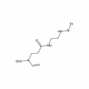 C=CN(C=O)CCC(=O)NCCN[N]CC